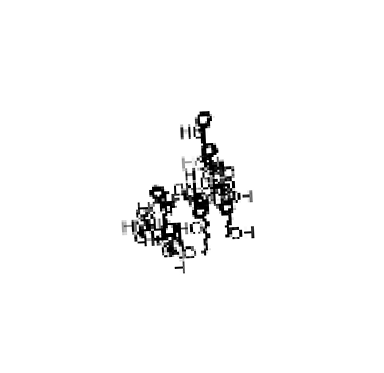 CC(O)CCc1ccc(N2CC(=O)NS2(=O)=O)c(O)c1.CCCCC(O)Cc1ccc(N2CC(=O)NS2(=O)=O)c(O)c1.O=C1CN(c2ccc(CCC(O)(c3ccccc3)C(F)(F)F)cc2O)S(=O)(=O)N1.O=C1CN(c2ccc(CCC3(O)CCCCC3)cc2O)S(=O)(=O)N1.O=c1[nH][s+]([O-])[nH]c1=O